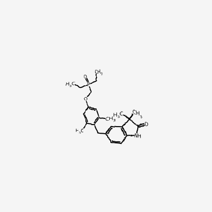 CCP(=O)(CC)COc1cc(C)c(Cc2ccc3c(c2)C(C)(C)C(=O)N3)c(C)c1